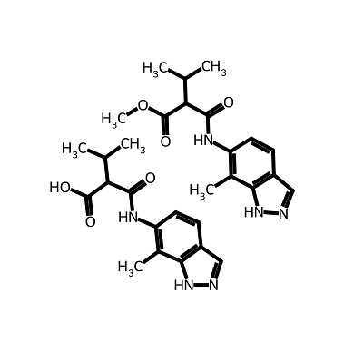 COC(=O)C(C(=O)Nc1ccc2cn[nH]c2c1C)C(C)C.Cc1c(NC(=O)C(C(=O)O)C(C)C)ccc2cn[nH]c12